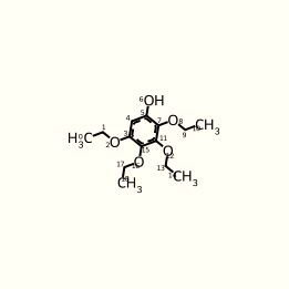 CCOc1cc(O)c(OCC)c(OCC)c1OCC